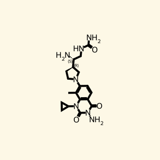 Cc1c(N2CC[C@@H]([C@H](N)CNC(N)=O)C2)ccc2c(=O)n(N)c(=O)n(C3CC3)c12